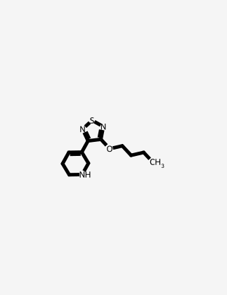 CCCCOc1nsnc1C1=CCCNC1